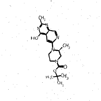 Cc1nc(O)c2cc(N3CCN(C(=O)OC(C)(C)C)C[C@@H]3C)ncc2n1